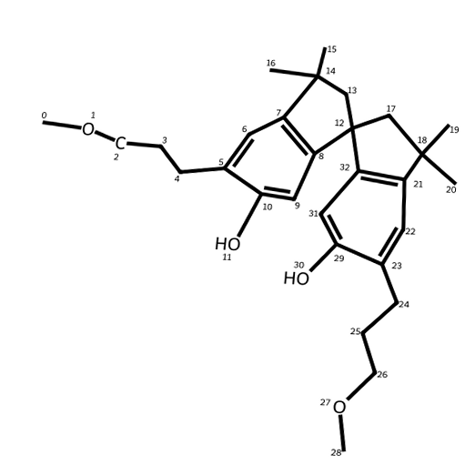 COCCCc1cc2c(cc1O)C1(CC2(C)C)CC(C)(C)c2cc(CCCOC)c(O)cc21